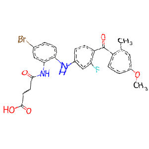 COc1ccc(C(=O)c2ccc(Nc3ccc(Br)cc3NC(=O)CCC(=O)O)cc2F)c(C)c1